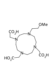 COCCN1CCN(CC(=O)O)CCN(CC(=O)O)CCN(CC(=O)O)CC1